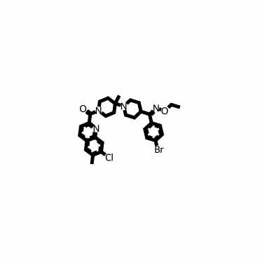 CCON=C(c1ccc(Br)cc1)C1CCN(C2(C)CCN(C(=O)c3ccc4cc(C)c(Cl)cc4n3)CC2)CC1